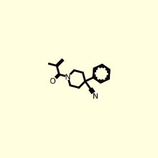 C=C(C)C(=O)N1CCC(C#N)(c2ccccc2)CC1